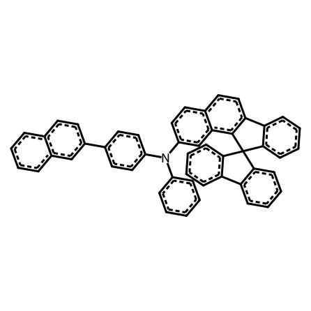 c1ccc(N(c2ccc(-c3ccc4ccccc4c3)cc2)c2ccc3ccc4c(c3c2)C2(c3ccccc3-c3ccccc32)c2ccccc2-4)cc1